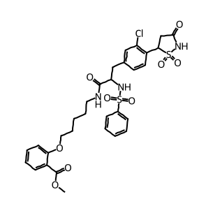 COC(=O)c1ccccc1OCCCCCNC(=O)C(Cc1ccc(C2CC(=O)NS2(=O)=O)c(Cl)c1)NS(=O)(=O)c1ccccc1